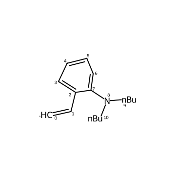 [CH]=Cc1ccccc1N(CCCC)CCCC